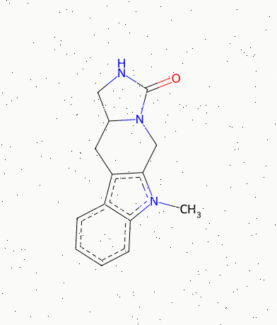 Cn1c2c(c3ccccc31)CC1CNC(=O)N1C2